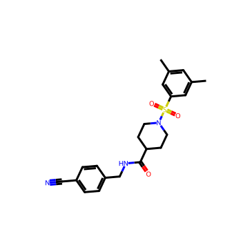 Cc1cc(C)cc(S(=O)(=O)N2CCC(C(=O)NCc3ccc(C#N)cc3)CC2)c1